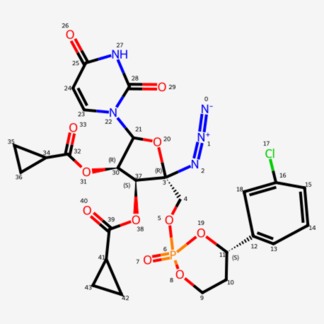 [N-]=[N+]=N[C@]1(COP2(=O)OCC[C@@H](c3cccc(Cl)c3)O2)OC(n2ccc(=O)[nH]c2=O)[C@H](OC(=O)C2CC2)[C@@H]1OC(=O)C1CC1